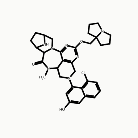 CN1C(=O)C2C3CCC(CN2c2nc(OCC45CCCN4CCC5)nc4c2C1CN(c1cc(O)cc2cccc(Cl)c12)C4)N3